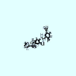 C[C@H](Nc1cc(F)c(S(=O)(=O)Nc2cscn2)cc1Cl)c1cc(C2CC2)ccc1F